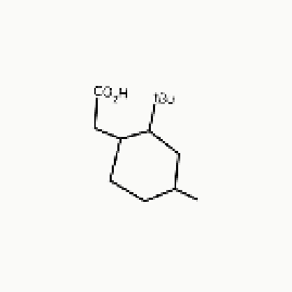 CC1CCC(CC(=O)O)C(C(C)(C)C)C1